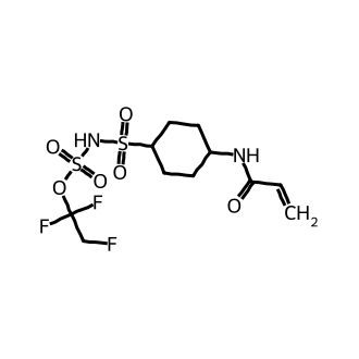 C=CC(=O)NC1CCC(S(=O)(=O)NS(=O)(=O)OC(F)(F)CF)CC1